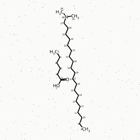 CCCCCC(=O)O.CCCCCCCCCCCCCCCCCCCCN(C)C